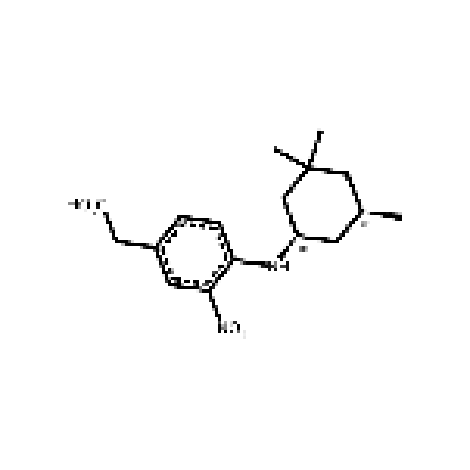 C[C@H]1C[C@@H](Nc2ccc(CC(=O)O)cc2[N+](=O)[O-])CC(C)(C)C1